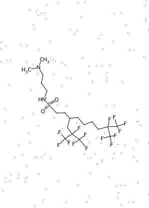 CN(C)CCCNS(=O)(=O)CCC(CCCCC(F)(C(F)(F)F)C(F)(F)F)CC(F)(C(F)(F)F)C(F)(F)F